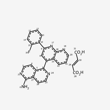 Nc1nccc2c(-c3cc(-c4ccccc4F)nc4ncccc34)nccc12.O=C(O)C=CC(=O)O